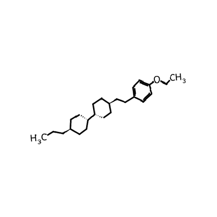 CCC[C@H]1CC[C@H]([C@H]2CC[C@H](CCc3ccc(OCC)cc3)CC2)CC1